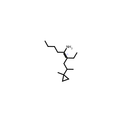 CCCC/C(N)=C(/CC)CC(C)C1(C)CC1